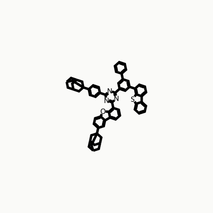 c1ccc(-c2cc(-c3nc(-c4ccc(C56CC7CC(CC(C7)C5)C6)cc4)nc(-c4cccc5c4oc4ccc(C67CC8CC(CC(C8)C6)C7)cc45)n3)cc(-c3cccc4c3sc3ccccc34)c2)cc1